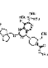 CCC[CH2][Sn]([CH2]CCC)([CH2]CCC)[c]1ncc2c(N3CCN(C(=O)OC(C)(C)C)[C@@H](CC#N)C3)nc(OC[C@@]34CCCN3C[C@H](F)C4)nc2c1F